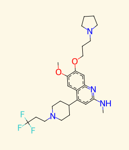 CNc1cc(C2CCN(CCC(F)(F)F)CC2)c2cc(OC)c(OCCCN3CCCC3)cc2n1